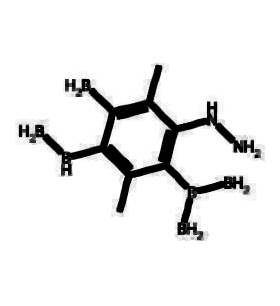 BBc1c(B)c(C)c(NN)c(B(B)B)c1C